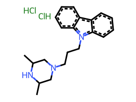 CC1CN(CCCn2c3ccccc3c3ccccc32)CC(C)N1.Cl.Cl